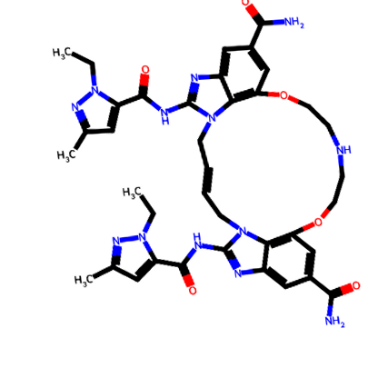 CCn1nc(C)cc1C(=O)Nc1nc2cc(C(N)=O)cc3c2n1C/C=C/Cn1c(NC(=O)c2cc(C)nn2CC)nc2cc(C(N)=O)cc(c21)OCCNCCO3